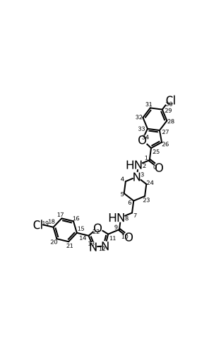 O=C(NN1CCC(CNC(=O)c2nnc(-c3ccc(Cl)cc3)o2)CC1)c1cc2cc(Cl)ccc2o1